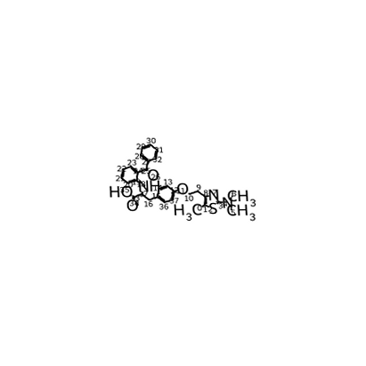 Cc1sc(N(C)C)nc1CCOc1ccc(CC(Nc2ccccc2C(=O)c2ccccc2)C(=O)O)cc1